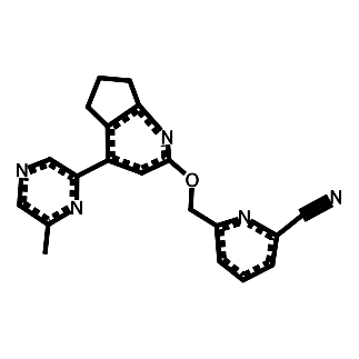 Cc1cncc(-c2cc(OCc3cccc(C#N)n3)nc3c2CCC3)n1